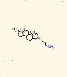 C=C1CCC2C3CCC4=C[C@H](SCCCN)CC[C@]4(C)C3CC[C@]12C